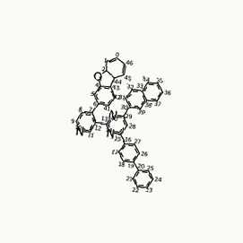 C1=CC2Oc3cc(-c4ccncc4-c4nc(-c5ccc(-c6ccccc6)cc5)cc(-c5ccc6ccccc6c5)n4)ccc3C2C=C1